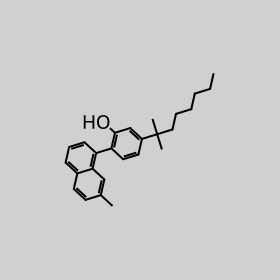 CCCCCCC(C)(C)c1ccc(-c2cccc3ccc(C)cc23)c(O)c1